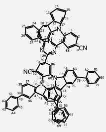 N#Cc1ccc(-n2c3ccccc3c3ccccc32)c(-c2nc(-c3ccccc3)nc(-c3cc(C#N)c(-n4c5ccc(-c6ccccc6)cc5c5cc(-c6ccccc6)ccc54)c(-n4c5ccc(-c6ccccc6)cc5c5cc(-c6ccccc6)ccc54)c3)n2)c1